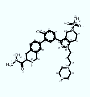 CN(C)C(=O)C1Cc2ccc(-c3cc(-c4nn(CCCN5CCOCC5)c5c4CN(S(C)(=O)=O)CC5)ccc3Cl)cc2CN1